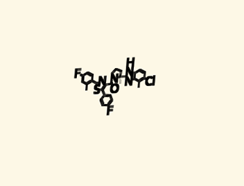 Cc1cc(F)ccc1-c1nc(C(=O)N2CCC[C@@]2(C)c2nc3c(C)c(Cl)ccc3[nH]2)c(-c2ccc(F)cc2)s1